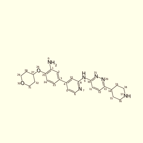 Nc1cc(-c2ccnc(Nc3ccc(C4CCNCC4)nn3)c2)ccc1OC1CCOCC1